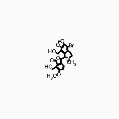 COc1ccc2c(c1CO)C(=O)OC2C1c2c(c(Br)c3c(c2CO)OCO3)CCN1C